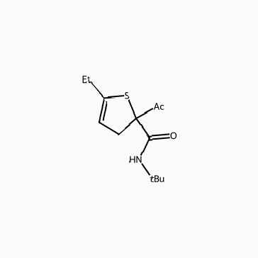 CCC1=CCC(C(C)=O)(C(=O)NC(C)(C)C)S1